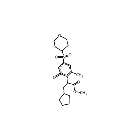 COC(=O)C(CC1CCCC1)n1c(C)cc(S(=O)(=O)C2CCOCC2)cc1=O